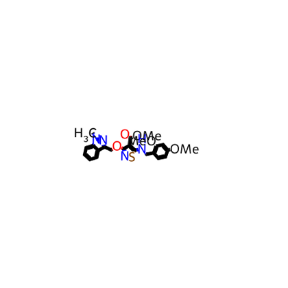 COC(=O)c1c(OCc2nn(C)c3ccccc23)nsc1NCc1ccc(OC)cc1OC